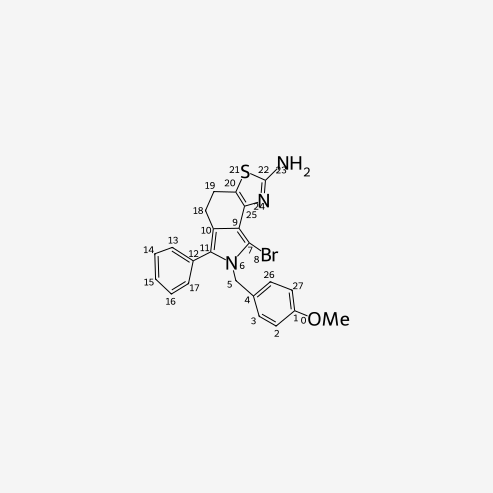 COc1ccc(Cn2c(Br)c3c(c2-c2ccccc2)CCc2sc(N)nc2-3)cc1